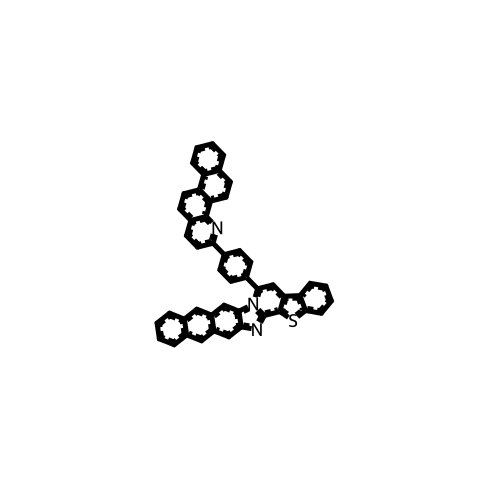 c1ccc2cc3cc4c(cc3cc2c1)nc1c2sc3ccccc3c2cc(-c2ccc(-c3ccc5ccc6c7ccccc7ccc6c5n3)cc2)n41